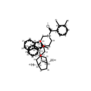 Cc1cccc(C(=O)N2CCC(CCN3[C@@H]4CC[C@H]3C[C@@H](n3c(C)nc5ccccc53)C4)(c3ccccc3)CC2)c1C